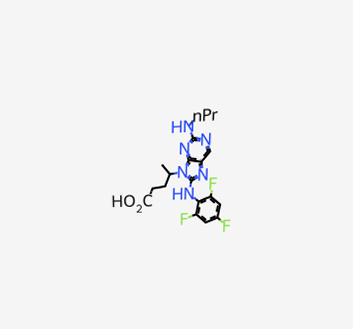 CCCNc1ncc2nc(Nc3c(F)cc(F)cc3F)n(C(C)CCC(=O)O)c2n1